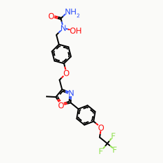 Cc1oc(-c2ccc(OCC(F)(F)F)cc2)nc1COc1ccc(CN(O)C(N)=O)cc1